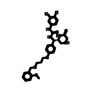 COc1ccccc1COCCCOc1ccc(C(NC(=O)Nc2ccc(Cl)c(Cl)c2)[C@H]2CNCC(=O)N2)cc1